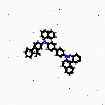 CC1C=CC=CC1c1c(Nc2ccc(-c3ccc(N(c4ccc5c(c4)C(C)(C)C4=C5C=CCC4)c4cccc5ccccc45)cc3)cc2)ccc2ccccc12